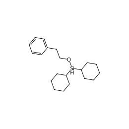 c1ccc(CCO[SiH](C2CCCCC2)C2CCCCC2)cc1